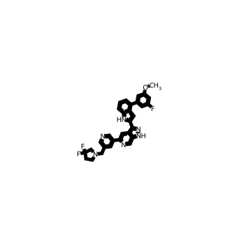 COc1cc(F)cc(-c2cccc3[nH]c(-c4n[nH]c5cnc(-c6cncc(CN7CCC(F)(F)C7)c6)cc45)cc23)c1